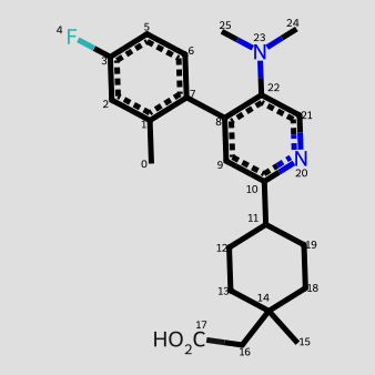 Cc1cc(F)ccc1-c1cc(C2CCC(C)(CC(=O)O)CC2)ncc1N(C)C